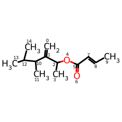 C=C(C(C)OC(=O)C=CC)C(C)C(C)C